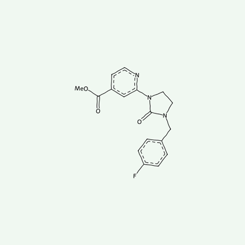 COC(=O)c1ccnc(N2CCN(Cc3ccc(F)cc3)C2=O)c1